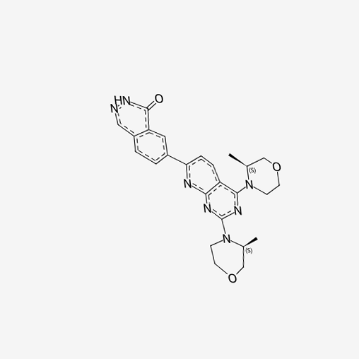 C[C@H]1COCCN1c1nc(N2CCOC[C@@H]2C)c2ccc(-c3ccc4cn[nH]c(=O)c4c3)nc2n1